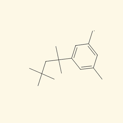 [CH2]c1cc(C)cc(C(C)(C)CC(C)(C)C)c1